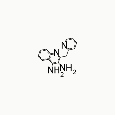 Nc1c(Cc2ccccn2)nc2ccccc2c1N